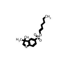 CCCCC=COS(=O)(=O)c1ccc2c(c1)C(C)(C)C=N2